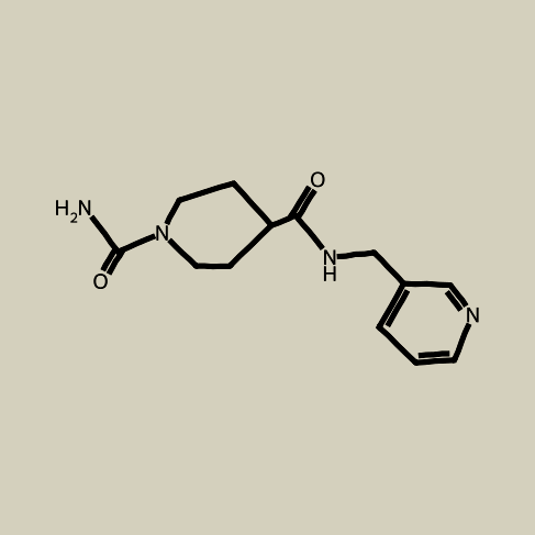 NC(=O)N1CCC(C(=O)NCc2cccnc2)CC1